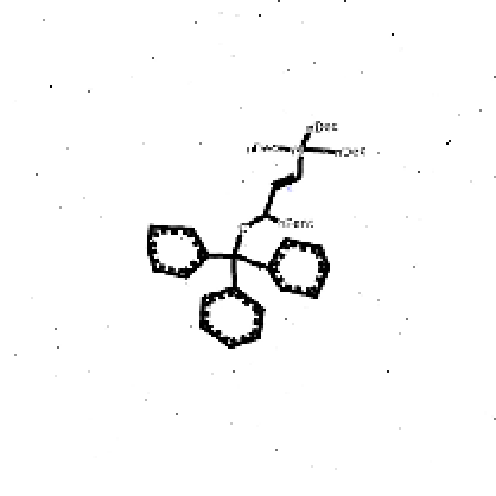 CCCCCCCCC[CH2][Al-](/[CH]=C/C(CCCCC)OC(c1ccccc1)(c1ccccc1)c1ccccc1)([CH2]CCCCCCCCC)[CH2]CCCCCCCCC